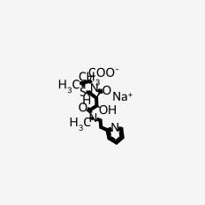 CN(CCc1ccccn1)C(=O)[C@@H](O)[C@@H]1C(=O)N2[C@@H]1SC(C)(C)[C@@H]2C(=O)[O-].[Na+]